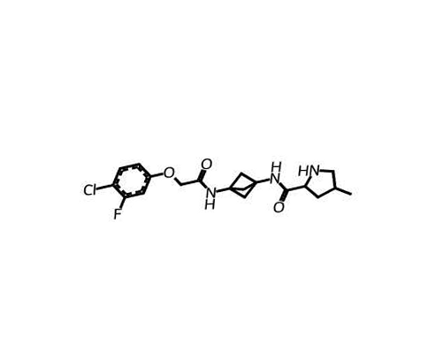 CC1CNC(C(=O)NC23CC(NC(=O)COc4ccc(Cl)c(F)c4)(C2)C3)C1